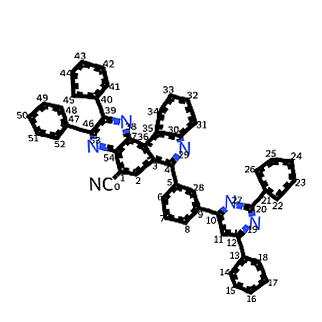 N#Cc1cc2c(-c3cccc(-c4cc(-c5ccccc5)nc(-c5ccccc5)n4)c3)nc3ccccc3c2c2nc(-c3ccccc3)c(-c3ccccc3)nc12